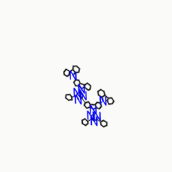 c1ccc(-c2nc(-c3ccc4c(c3)c3cc(-n5c6ccccc6c6ccccc65)ccc3n4-c3nc(-c4ccccc4)nc(-c4ccccc4)n3)nc(-n3c4ccccc4c4cc(-n5c6ccccc6c6ccccc65)ccc43)n2)cc1